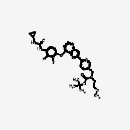 COCCN(Cc1ccc(-c2cc3nccc(Oc4ccc(NC(=O)NC5CC5)c(F)c4F)c3s2)nc1)C(=O)OC(C)(C)C